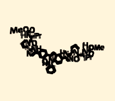 COC(=O)N[C@H](C(=O)N1CCCC1c1ncc(C2=CC3C=C4c5ccc(-c6cnc([C@@H]7C=CCN7C(=O)[C@@H](NC(=O)OC)C(C)C)[nH]6)cc5OC(C5=CCCC=C5)N4C3(C)C=C2)[nH]1)C(C)C